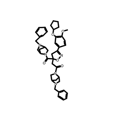 COc1ccc(C2=NOC(CC(=O)N3CC4CC3CN4Cc3ccccc3)(C(=O)N3CC4CC3CN4Cc3ccccc3)C2)cc1OC1CCCC1